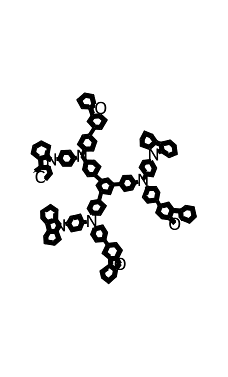 c1ccc2c(c1)oc1ccc(-c3ccc(N(c4ccc(-c5cc(-c6ccc(N(c7ccc(-c8ccc9oc%10ccccc%10c9c8)cc7)c7ccc(-n8c9ccccc9c9ccccc98)cc7)cc6)cc(-c6ccc(N(c7ccc(-c8ccc9oc%10ccccc%10c9c8)cc7)c7ccc(-n8c9ccccc9c9ccccc98)cc7)cc6)c5)cc4)c4ccc(-n5c6ccccc6c6ccccc65)cc4)cc3)cc12